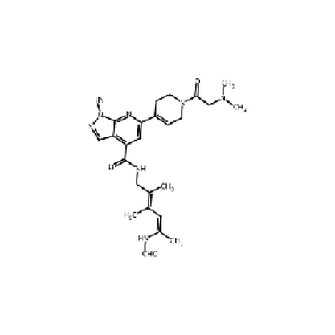 C/C(=C/C(C)=C(\C)CNC(=O)c1cc(C2=CCN(C(=O)CN(C)C)CC2)nc2c1cnn2C(C)C)NC=O